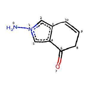 Nn1cc2c(c1)C(=O)CC=C2